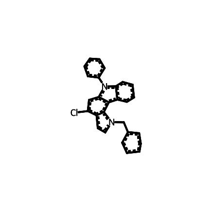 Clc1cc2c(c3ccccc3n2-c2ccccc2)c2c1ccn2Cc1ccccc1